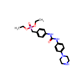 CCOP(=O)(Cc1ccc(NC(=O)Nc2ccc(N3CCNCC3)cc2)cc1)OCC